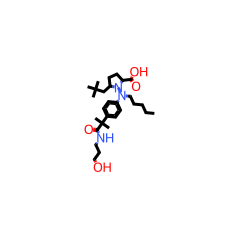 CCCCCN(c1ccc(C(C)(C)C(=O)NCCCO)cc1)N1C(CC(C)(C)C)CCC1C(=O)O